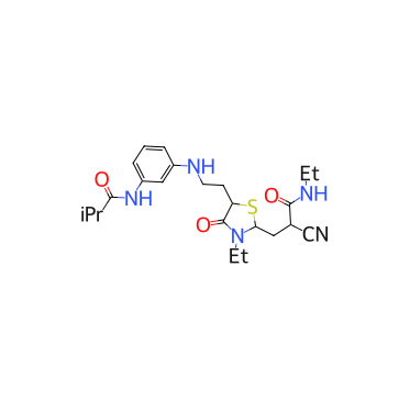 CCNC(=O)C(C#N)CC1SC(CCNc2cccc(NC(=O)C(C)C)c2)C(=O)N1CC